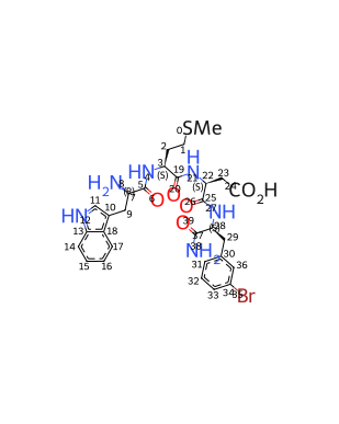 CSCC[C@H](NC(=O)[C@H](N)Cc1c[nH]c2ccccc12)C(=O)N[C@@H](CC(=O)O)C(=O)N[C@@H](Cc1cccc(Br)c1)C(N)=O